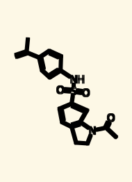 C=C(C)c1ccc(NS(=O)(=O)c2ccc3c(c2)N(C(C)=O)CC3)cc1